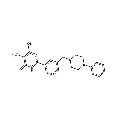 Cc1nc(-c2cccc(CN3CCN(c4ccccc4)CC3)c2)[nH]c(=O)c1C